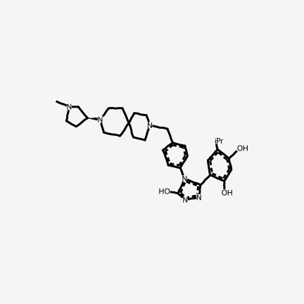 CC(C)c1cc(-c2nnc(O)n2-c2ccc(CN3CCC4(CC3)CCN([C@H]3CCN(C)C3)CC4)cc2)c(O)cc1O